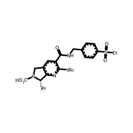 CCS(=O)(=O)c1ccc(CNC(=O)c2cc3c(nc2C(C)(C)C)[C@H](C(C)C)N(C(=O)O)C3)cc1